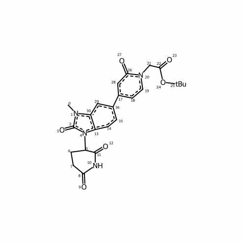 Cn1c(=O)n(C2CCC(=O)NC2=O)c2ccc(-c3ccn(CC(=O)OC(C)(C)C)c(=O)c3)cc21